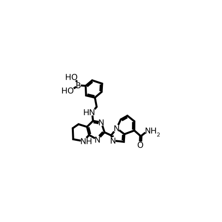 NC(=O)c1cccn2c(-c3nc4c(c(NCc5cccc(B(O)O)c5)n3)CCCN4)ncc12